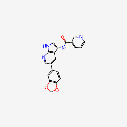 O=C(Nc1c[nH]c2ncc(-c3ccc4c(c3)OCO4)cc12)c1cccnc1